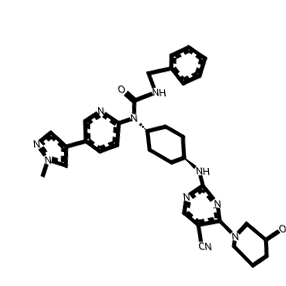 Cn1cc(-c2ccc(N(C(=O)NCc3ccccc3)[C@H]3CC[C@H](Nc4ncc(C#N)c(N5CCCC(O)C5)n4)CC3)nc2)cn1